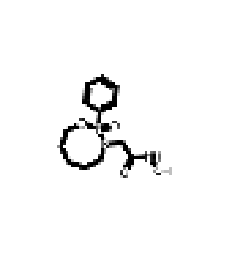 O=C(CN1CCCCCOP1(=O)c1ccccc1)NO